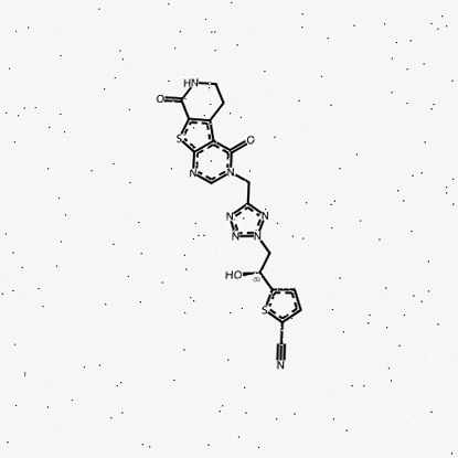 N#Cc1ccc([C@@H](O)Cn2nnc(Cn3cnc4sc5c(c4c3=O)CCNC5=O)n2)s1